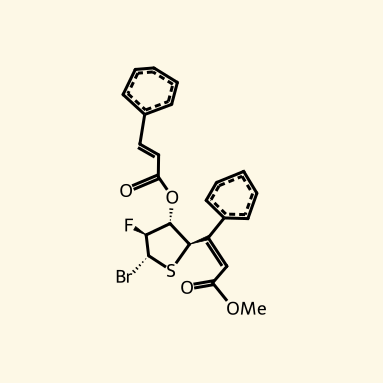 COC(=O)C=C(c1ccccc1)[C@H]1S[C@H](Br)[C@@H](F)[C@@H]1OC(=O)C=Cc1ccccc1